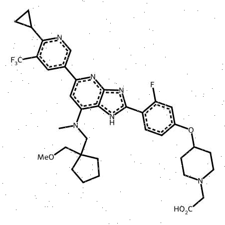 COCC1(CN(C)c2cc(-c3cnc(C4CC4)c(C(F)(F)F)c3)nc3nc(-c4ccc(OC5CCN(CC(=O)O)CC5)cc4F)[nH]c23)CCCC1